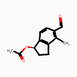 CC(=O)O[C@@H]1CCc2c1ccc(C=O)c2C